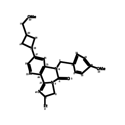 CCC1CN2C(=O)N(Cc3ccc(OC)cc3)c3cc(N4CC(COC)C4)cnc3C2=N1